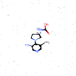 Cc1cncc(N)c1N1CC[C@H](NC(=O)O)C1